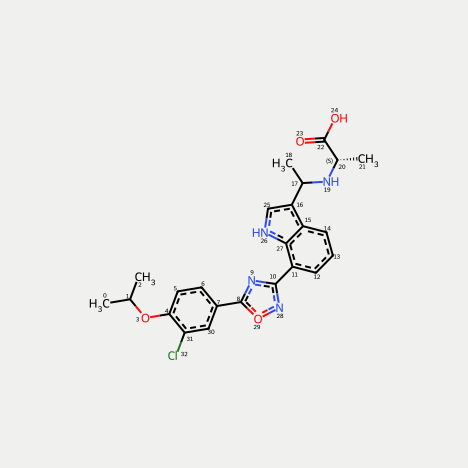 CC(C)Oc1ccc(-c2nc(-c3cccc4c(C(C)N[C@@H](C)C(=O)O)c[nH]c34)no2)cc1Cl